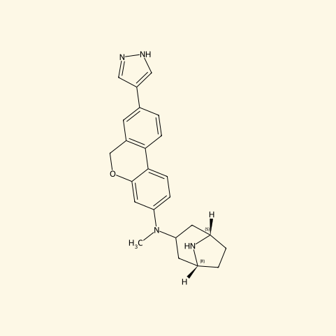 CN(c1ccc2c(c1)OCc1cc(-c3cn[nH]c3)ccc1-2)C1C[C@H]2CC[C@@H](C1)N2